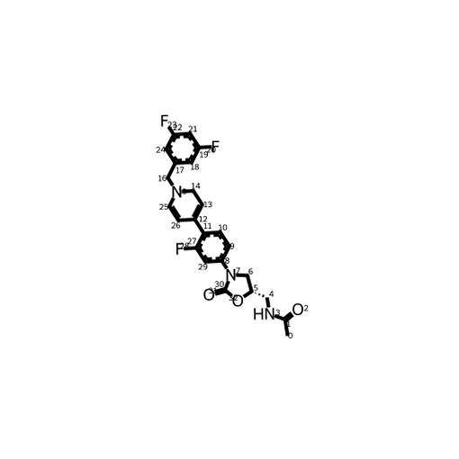 CC(=O)NC[C@H]1CN(c2ccc(C3=CCN(Cc4cc(F)cc(F)c4)C=C3)c(F)c2)C(=O)O1